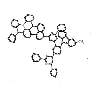 Cc1ccc2c(c1)c1ccccc1n2-c1ccc(-c2cc(-c3ccccc3)nc(-c3ccccc3)n2)cc1-c1nc(-c2ccccc2)nc(-c2ccc(-c3ccc4c5c3N(c3ccccc3)c3ccccc3B5c3ccccc3N4c3ccccc3)cc2)n1